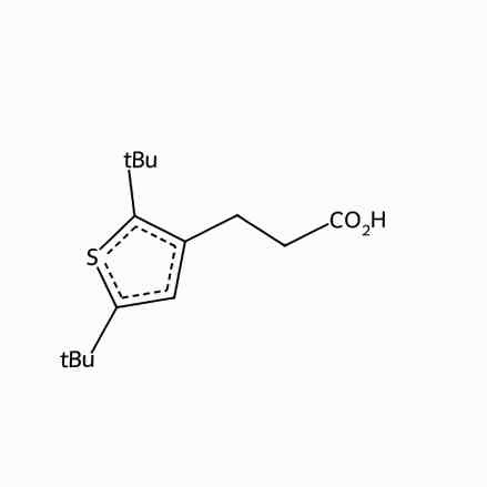 CC(C)(C)c1cc(CCC(=O)O)c(C(C)(C)C)s1